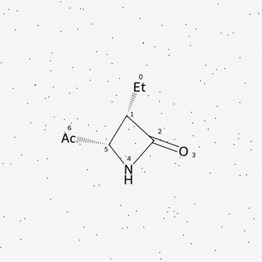 CC[C@@H]1C(=O)N[C@@H]1C(C)=O